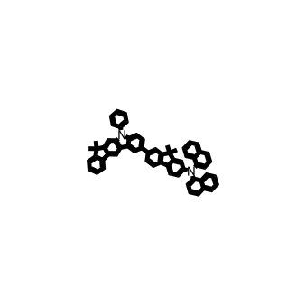 CC1(C)c2cc(-c3ccc4c(c3)c3cc5c(cc3n4-c3ccccc3)C(C)(C)c3ccccc3-5)ccc2-c2ccc(N(c3cccc4ccccc34)c3cccc4ccccc34)cc21